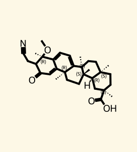 CO[C@@]1(C)C2=CC=C3[C@@](C)(CC[C@@]4(C)[C@@H]5C[C@](C)(C(=O)O)CC[C@]5(C)CC[C@]34C)C2=CC(=O)C1CC#N